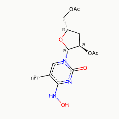 CCCc1cn([C@@H]2O[C@H](COC(C)=O)C[C@H]2OC(C)=O)c(=O)nc1NO